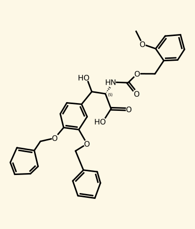 COc1ccccc1COC(=O)N[C@H](C(=O)O)C(O)c1ccc(OCc2ccccc2)c(OCc2ccccc2)c1